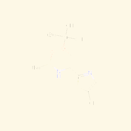 Cc1cnc([C@@H](CO[Si](C)(C)C(C)(C)C)N[S+]([O-])C(C)(C)C)s1